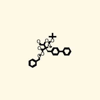 CC(C=O)[C@@](Cc1ccc(-c2ccccc2)cc1)(C(=O)OOCc1ccccc1)N(C)C(=O)OC(C)(C)C